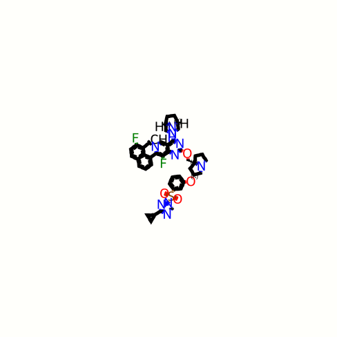 C#Cc1c(F)ccc2cccc(-c3ncc4c(N5C[C@H]6CC[C@@H](C5)N6)nc(OC[C@@]56CCCN5C[C@H](Oc5cccc(S(=O)(=O)n7cnc(C8CC8)n7)c5)C6)nc4c3F)c12